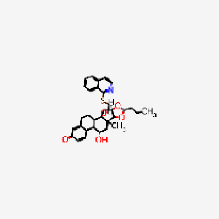 CCCC1O[C@@H]2CC3C4CCC5=CC(=O)C=CC5C4[C@@H](O)CC3(C)[C@]2(C(=O)CSc2nccc3ccccc23)O1